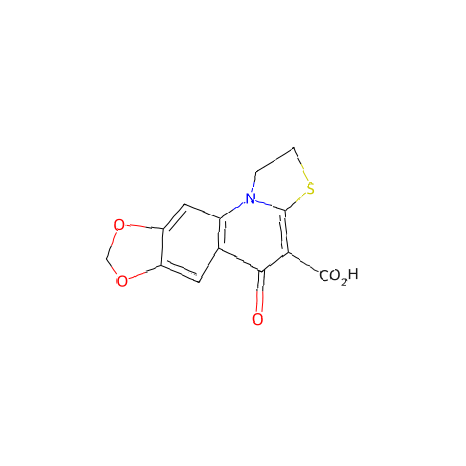 O=C(O)c1c2n(c3cc4c(cc3c1=O)OCO4)CCS2